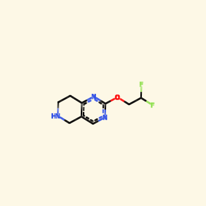 FC(F)COc1ncc2c(n1)CCNC2